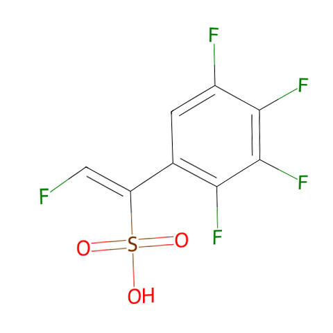 O=S(=O)(O)C(=CF)c1cc(F)c(F)c(F)c1F